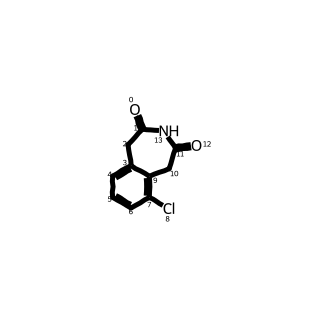 O=C1Cc2cccc(Cl)c2CC(=O)N1